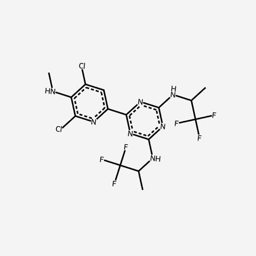 CNc1c(Cl)cc(-c2nc(NC(C)C(F)(F)F)nc(NC(C)C(F)(F)F)n2)nc1Cl